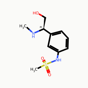 CN[C@@H](CO)c1cccc(NS(C)(=O)=O)c1